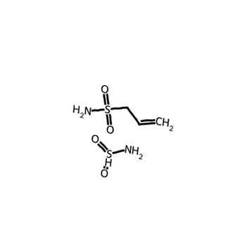 C=CCS(N)(=O)=O.N[SH](=O)=O